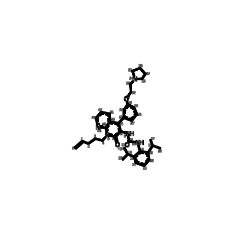 C=CCCCn1c(=O)c(NC(=O)Nc2c(C(C)C)cccc2C(C)C)c(-c2cccc(OCCN3CCCC3)c2)c2cccnc21